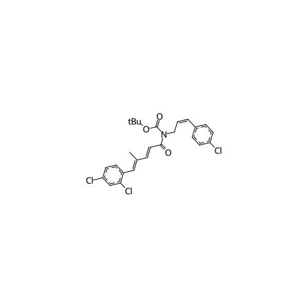 CC(/C=C/C(=O)N(C/C=C\c1ccc(Cl)cc1)C(=O)OC(C)(C)C)=C\c1ccc(Cl)cc1Cl